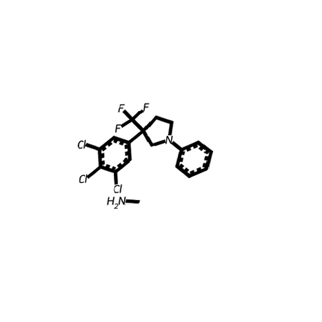 CN.FC(F)(F)C1(c2cc(Cl)c(Cl)c(Cl)c2)CCN(c2ccccc2)C1